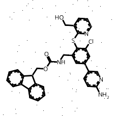 Nc1ccc(-c2cc(Cl)c(Sc3ncccc3CO)c(CNC(=O)OCC3c4ccccc4-c4ccccc43)c2)cn1